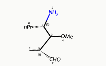 CCC[C@H](N)C(OC)[C@@H](C)C=O